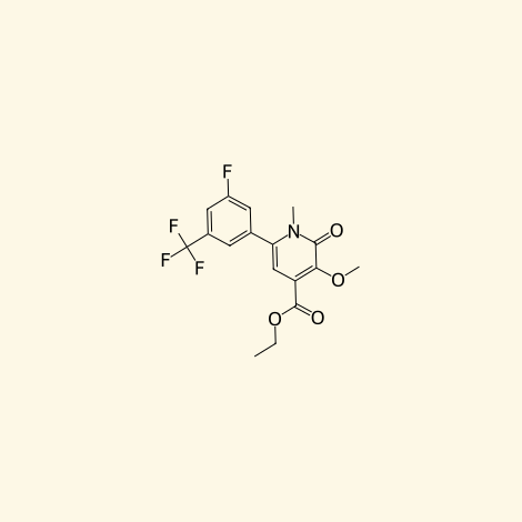 CCOC(=O)c1cc(-c2cc(F)cc(C(F)(F)F)c2)n(C)c(=O)c1OC